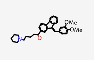 COc1ccc(/C=C2\c3ccccc3-c3ccc(C(=O)CCCCN4CCCCC4)cc32)cc1OC